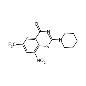 O=c1nc(N2CCCCC2)sc2c([N+](=O)[O-])cc(C(F)(F)F)cc12